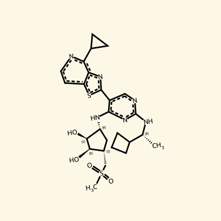 C[C@@H](Nc1ncc(-c2nc3c(C4CC4)nccc3s2)c(N[C@@H]2C[C@H](CS(C)(=O)=O)[C@@H](O)[C@H]2O)n1)C1CCC1